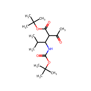 CC(=O)C(C(=O)OC(C)(C)C)C(NC(=O)OC(C)(C)C)C(C)C